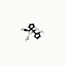 C#CCC1(C(C)(C)C2=C(C)C=CC2)C=CC=C1.[Cl-].[Cl-].[V+2]